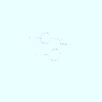 C=C(Nc1ccc(C)cc1)c1cc(C)cc(C)c1